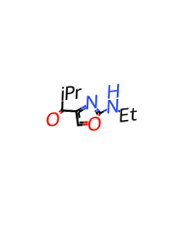 CCNc1nc(C(=O)C(C)C)co1